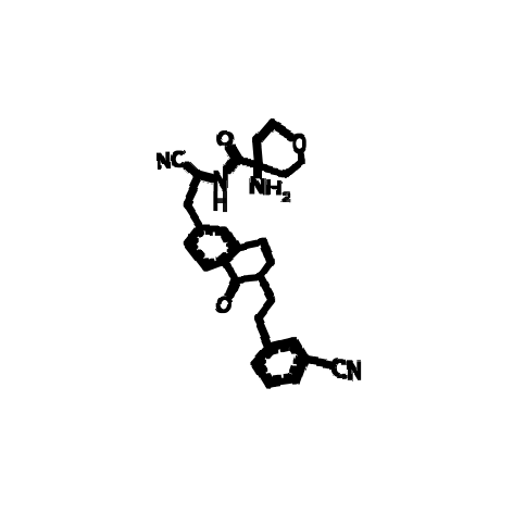 N#Cc1cccc(CCC2CCc3cc(CC(C#N)NC(=O)C4(N)CCOCC4)ccc3C2=O)c1